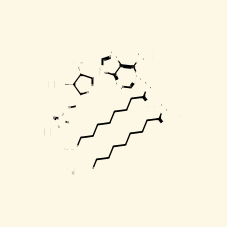 CCCCCCCCCCCCCCCCCC(N)=O.CCCCCCCCCCCCCCCCCC(N)=O.Nc1ncnc2c1ncn2[C@@H]1O[C@H](COP(=O)(O)O)[C@@H](O)[C@H]1O